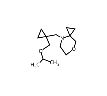 CC(C)OCC1(CN2CCOCC23CC3)CC1